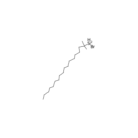 CCCCCCCCCCCCCCCCC(C)(C)[SiH2]Br